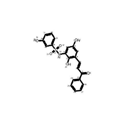 O=C(/C=C/c1cc(O)cc(NS(=O)(=O)c2cccc(O)c2)c1O)c1ccccc1